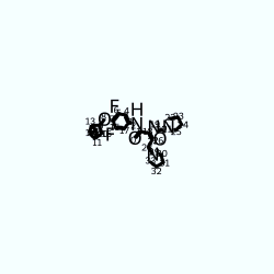 O=C(Nc1cc(F)c(OC2CC3C4C2C34)c(F)c1)c1nc(N2CCCC2)oc1CN1CCCC1